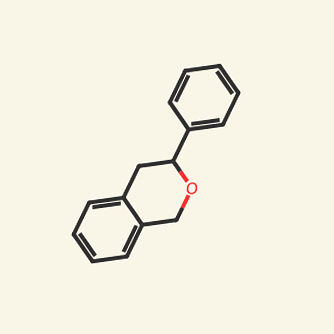 c1ccc(C2Cc3ccccc3CO2)cc1